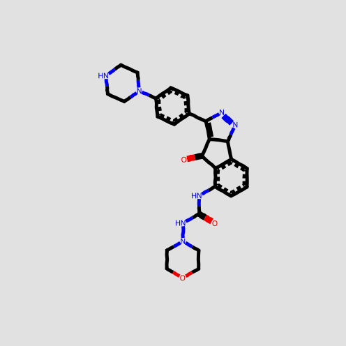 O=C(Nc1cccc2c1C(=O)C1=C(c3ccc(N4CCNCC4)cc3)N=NC12)NN1CCOCC1